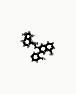 Fc1ccccc1-c1nc2c(Cl)cccc2cc1CNc1ncnc2[nH]cnc12